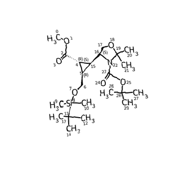 COC(=O)[C@H]1[C@H](CO[Si](C)(C)C(C)(C)C)[C@@H]1[C@H]1COC(C)(C)N1C(=O)OC(C)(C)C